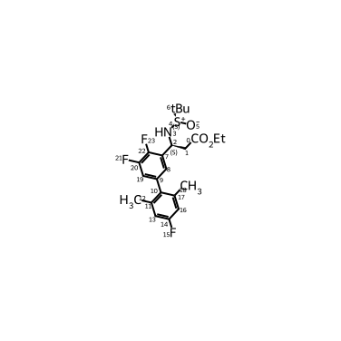 CCOC(=O)C[C@H](N[S@+]([O-])C(C)(C)C)c1cc(-c2c(C)cc(F)cc2C)cc(F)c1F